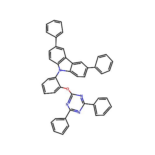 c1ccc(-c2ccc3c(c2)c2cc(-c4ccccc4)ccc2n3-c2ccccc2Oc2nc(-c3ccccc3)nc(-c3ccccc3)n2)cc1